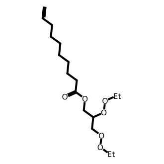 C=CCCCCCCCC(=O)OCC(COOCC)OOCC